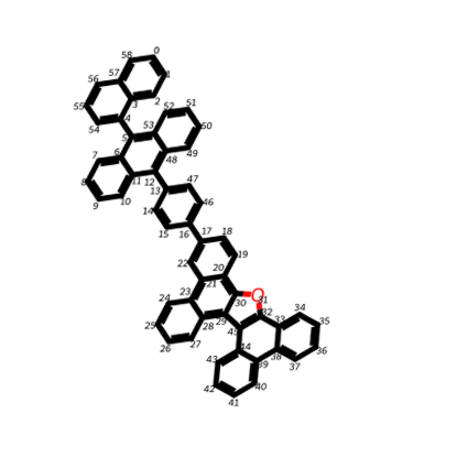 c1ccc2c(-c3c4ccccc4c(-c4ccc(-c5ccc6c(c5)c5ccccc5c5c6oc6c7ccccc7c7ccccc7c65)cc4)c4ccccc34)cccc2c1